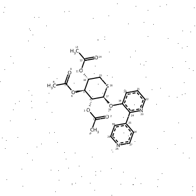 CC(=O)O[C@@H]1[C@@H](OC(C)=O)[C@H](OC(C)=O)CS[C@H]1Oc1cccnc1-c1ccncc1